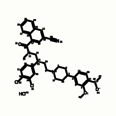 COc1cc(C2CCN(CC[C@H](CN(C)C(=O)c3cc(C#N)cc4ccccc34)c3ccc(Cl)c(Cl)c3)CC2)ccc1[S+](C)[O-].Cl